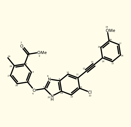 COC(=O)c1cc(Oc2nc3cc(C#Cc4cccc(OC)c4)c(Cl)cc3[nH]2)ccc1C